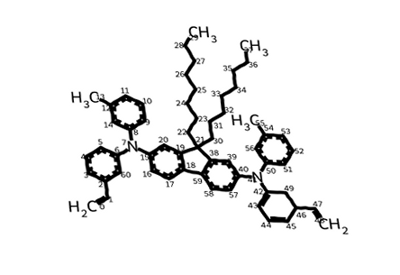 C=Cc1cccc(N(c2cccc(C)c2)c2ccc3c(c2)C(CCCCCCCC)(CCCCCCCC)c2cc(N(C4=CC=CC(C=C)C4)c4cccc(C)c4)ccc2-3)c1